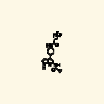 O=C(CCC(F)(F)F)NC1CC=C(c2cc(NC(=O)C3CC3)nc3[nH]ccc23)CC1